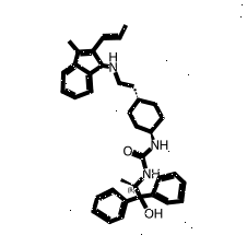 CC=CC1=C(C)c2ccccc2C1NCC[C@H]1CC[C@H](NC(=O)N[C@H](C)C(O)(c2ccccc2)c2ccccc2)CC1